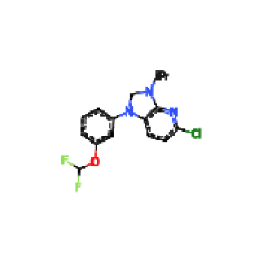 CC(C)N1CN(c2cccc(OC(F)F)c2)c2ccc(Cl)nc21